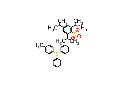 CC(C)c1cc(C(C)C)c(S(=O)(=O)[O-])c(C(C)C)c1.Cc1ccc([S+](c2ccccc2)c2ccccc2)cc1